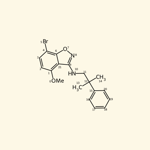 COc1ccc(Br)c2onc(NCC(C)(C)c3ccccc3)c12